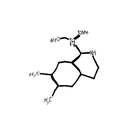 CO[SiH](OC)C1NCCC2CC(C)C(C)CC21